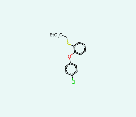 CCOC(=O)CSc1ccccc1Oc1ccc(Cl)cc1